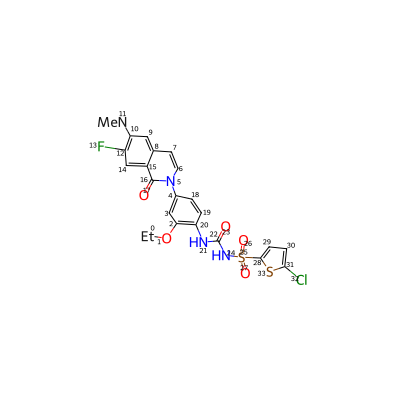 CCOc1cc(-n2ccc3cc(NC)c(F)cc3c2=O)ccc1NC(=O)NS(=O)(=O)c1ccc(Cl)s1